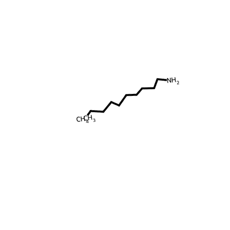 C.CCCCCCCCCCN